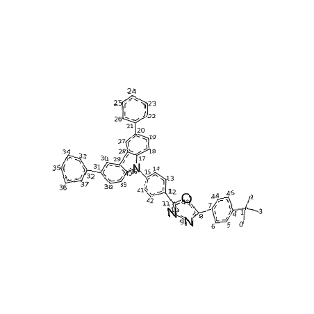 CC(C)(C)c1ccc(-c2nnc(-c3ccc(-n4c5ccc(-c6ccccc6)cc5c5cc(-c6ccccc6)ccc54)cc3)o2)cc1